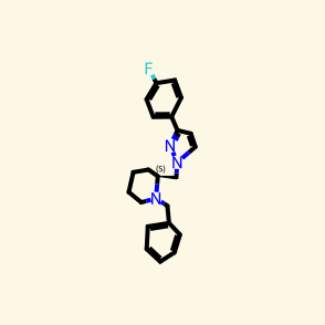 Fc1ccc(-c2ccn(C[C@@H]3CCCCN3Cc3ccccc3)n2)cc1